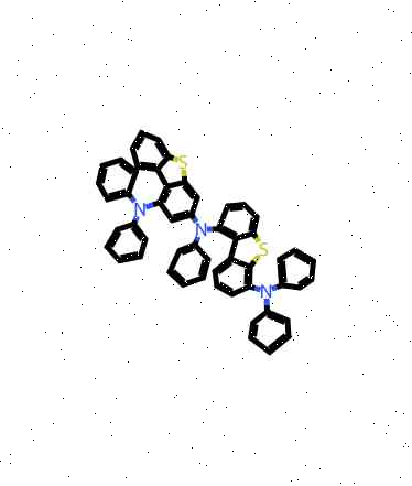 c1ccc(N(c2ccccc2)c2cccc3c2sc2cccc(N(c4ccccc4)c4cc(N(c5ccccc5)c5ccccc5)c5c(c4)sc4ccccc45)c23)cc1